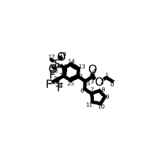 CCOC(=O)C(CC1CCCC1)c1ccc(S(C)(=O)=O)c(C(F)(F)F)c1